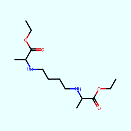 CCOC(=O)C(C)NCCCCNC(C)C(=O)OCC